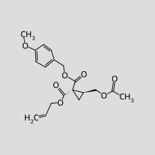 C=CCOC(=O)[C@@]1(C(=O)OCc2ccc(OC)cc2)C[C@@H]1COC(C)=O